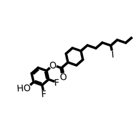 CCCC(I)CCCC1CCC(C(=O)Oc2ccc(O)c(F)c2F)CC1